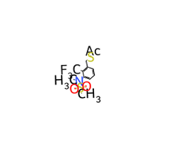 CC(=O)SCc1cccc(N(C)S(C)(=O)=O)c1C(F)(F)F